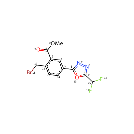 COC(=O)c1cc(-c2nnc(C(F)F)o2)ccc1CBr